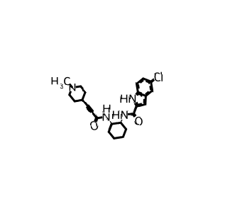 CN1CCC(C#CC(=O)N[C@H]2CCCC[C@H]2NC(=O)c2cc3cc(Cl)ccc3[nH]2)CC1